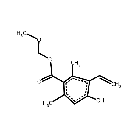 C=Cc1c(O)cc(C)c(C(=O)OCOC)c1C